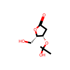 CC(C)(O)O[C@H]1CC(=O)O[C@H]1CO